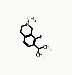 CC(C)c1ccc2c(c1F)CN(C)CC2